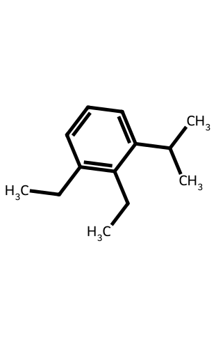 CCc1cccc(C(C)C)c1CC